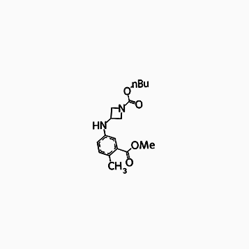 CCCCOC(=O)N1CC(Nc2ccc(C)c(C(=O)OC)c2)C1